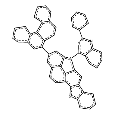 c1ccc(-c2nc(-n3c4cc(-c5cc6ccccc6c6c5ccc5ccccc56)cc5ccc6c7sc8ccccc8c7cc3c6c54)c3ccccc3n2)cc1